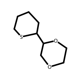 C1CCC(C2COCCO2)SC1